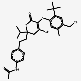 CC(=O)Nc1ccc(CCC2(C(C)C)CC(O)=C(Sc3cc(C)c(CO)cc3C(C)(C)C)C(=O)O2)cc1